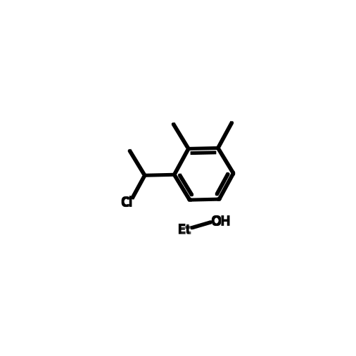 CCO.Cc1cccc(C(C)Cl)c1C